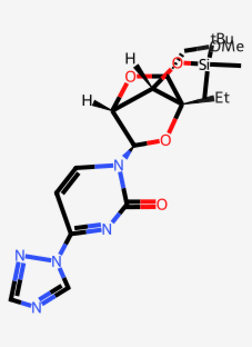 CC[C@]12O[C@@H](n3ccc(-n4cncn4)nc3=O)[C@H](O[C@@H]1COC)[C@@H]2O[Si](C)(C)C(C)(C)C